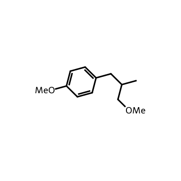 COCC(C)Cc1ccc(OC)cc1